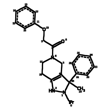 CC(C)N1NC2=C(CN(C(=O)COc3ccccc3)CC2)C1(C)c1ccccc1